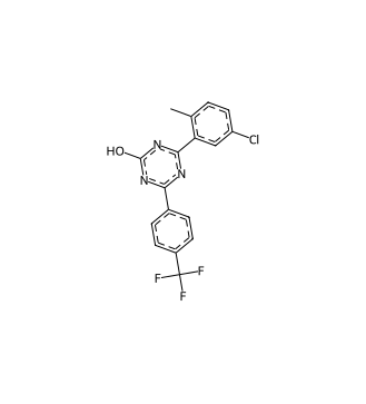 Cc1ccc(Cl)cc1-c1nc(O)nc(-c2ccc(C(F)(F)F)cc2)n1